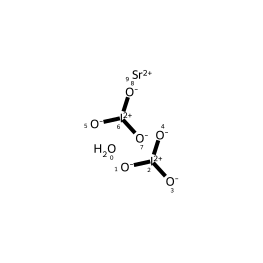 O.[O-][I+2]([O-])[O-].[O-][I+2]([O-])[O-].[Sr+2]